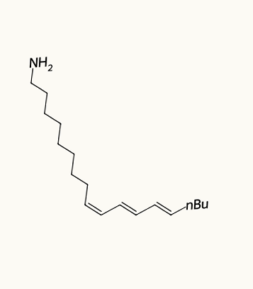 CCCC/C=C/C=C/C=C\CCCCCCCCN